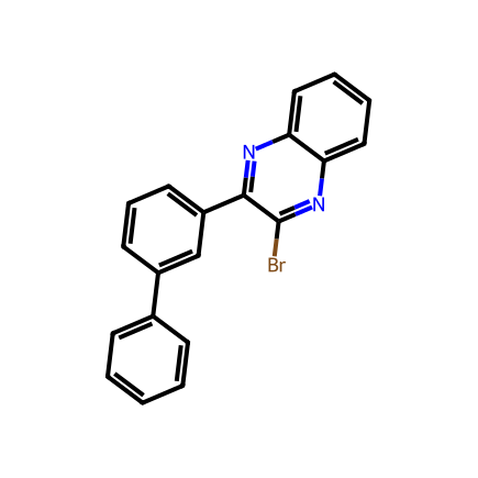 Brc1nc2ccccc2nc1-c1cccc(-c2ccccc2)c1